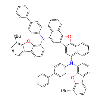 CC(C)(C)c1cccc2c1oc1c(N(c3ccc(-c4ccccc4)cc3)c3cc4c5cc(N(c6ccc(-c7ccccc7)cc6)c6cccc7c6oc6c(C(C)(C)C)cccc67)c6ccccc6c5oc4c4ccccc34)cccc12